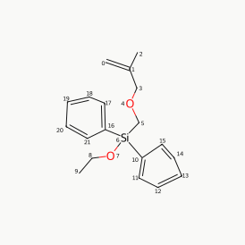 C=C(C)COC[Si](OCC)(c1ccccc1)c1ccccc1